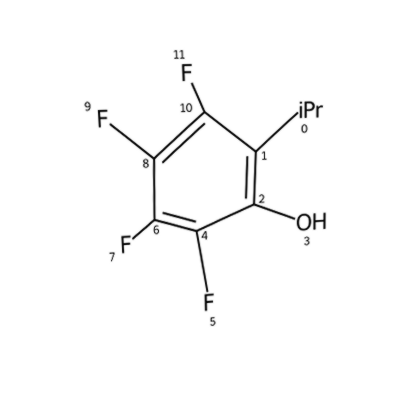 CC(C)c1c(O)c(F)c(F)c(F)c1F